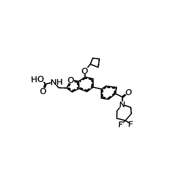 O=C(O)NCc1cc2cc(-c3ccc(C(=O)N4CCC(F)(F)CC4)cc3)cc(OC3CCC3)c2o1